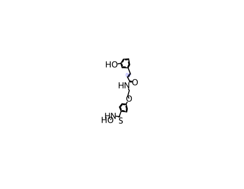 O=C(/C=C/c1cccc(O)c1)NCCOc1ccc(C(=S)NO)cc1